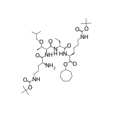 CC[C@H](NC(=O)[C@@H](NC(=O)[C@@H](N)CCCNC(=O)OC(C)(C)C)[C@@H](C)OCC(C)C)C(=O)N[C@@H](CCCCNC(=O)OC(C)(C)C)C(=O)OC1CCCCCC1